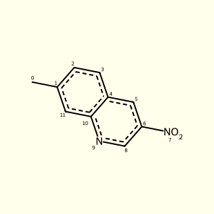 Cc1ccc2cc([N+](=O)[O-])cnc2c1